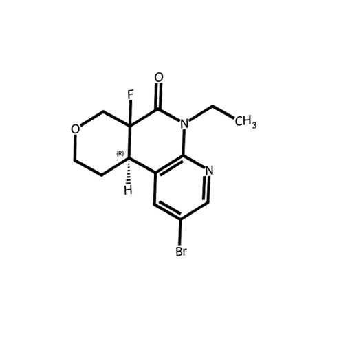 CCN1C(=O)C2(F)COCC[C@@H]2c2cc(Br)cnc21